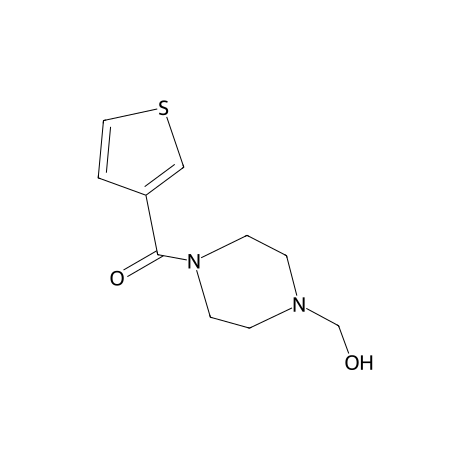 O=C(c1ccsc1)N1CCN(CO)CC1